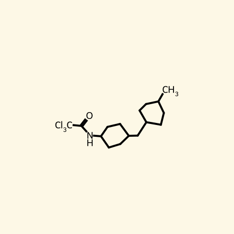 CC1CCC(CC2CCC(NC(=O)C(Cl)(Cl)Cl)CC2)CC1